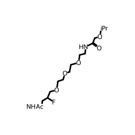 CC(=O)NCC(F)COCCOCCOCCNC(=O)COC(C)C